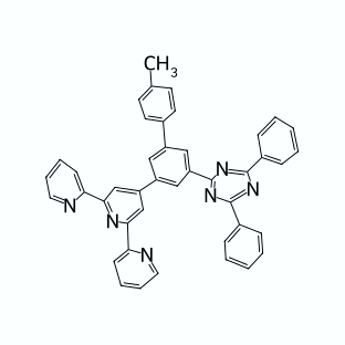 Cc1ccc(-c2cc(-c3cc(-c4ccccn4)nc(-c4ccccn4)c3)cc(-c3nc(-c4ccccc4)nc(-c4ccccc4)n3)c2)cc1